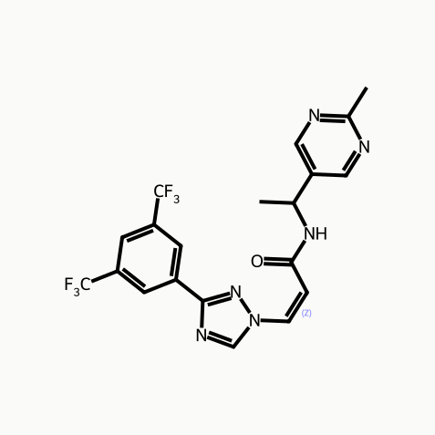 Cc1ncc(C(C)NC(=O)/C=C\n2cnc(-c3cc(C(F)(F)F)cc(C(F)(F)F)c3)n2)cn1